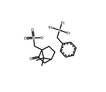 CC1(C)C2CCC1(CS(=O)(=O)[O-])C(=O)C2.CC[N+](CC)(CC)Cc1ccccc1